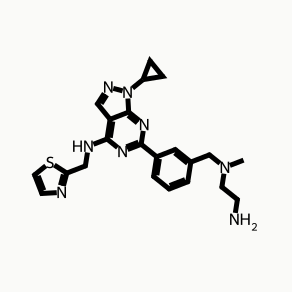 CN(CCN)Cc1cccc(-c2nc(NCc3nccs3)c3cnn(C4CC4)c3n2)c1